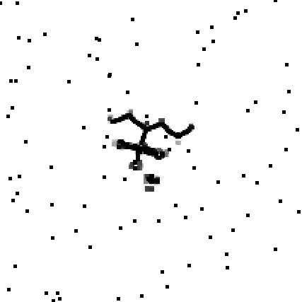 CCCC(CC)S(=O)(=O)[O-].[Na+]